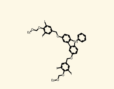 CCOCOc1c(I)cc(COc2ccc3c(c2)-c2cc(OCc4cc(I)c(OCOCC)c(I)c4)ccc2[SH]3c2ccccc2)cc1I